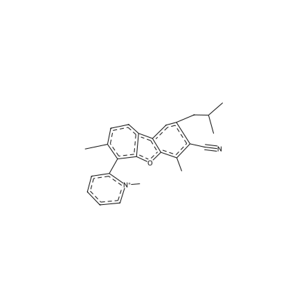 Cc1ccc2c(oc3c(C)c(C#N)c(CC(C)C)cc32)c1-c1cccc[n+]1C